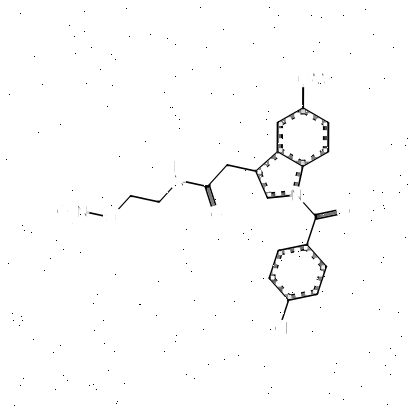 COc1ccc2c(c1)c(CC(=O)NCCO[N+](=O)[O-])cn2C(=O)c1ccc(Cl)cc1